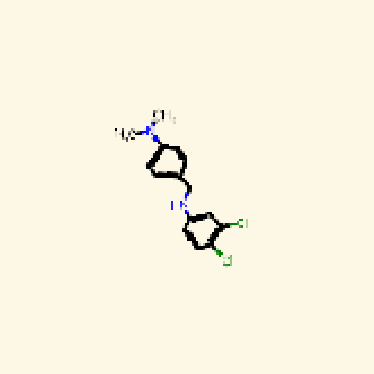 CN(C)c1ccc(CNc2ccc(Cl)c(Cl)c2)cc1